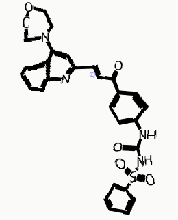 O=C(Nc1ccc(C(=O)/C=C/c2cc(N3CCOCC3)c3ccccc3n2)cc1)NS(=O)(=O)c1ccccc1